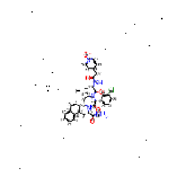 CC1CCN([C@H](Cc2cccc3ccccc23)C(N)=O)C(=O)[C@@H](c2cccc(Cl)c2)N1C(=O)CNC(=O)Cc1cc[n+]([O-])cc1